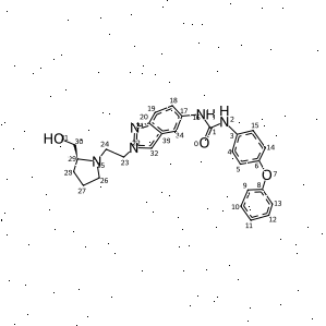 O=C(Nc1ccc(Oc2ccccc2)cc1)Nc1ccc2nn(CCN3CCC[C@H]3CO)cc2c1